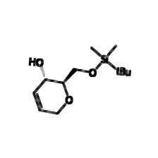 CC(C)(C)[Si](C)(C)OC[C@H]1OCC=C[C@@H]1O